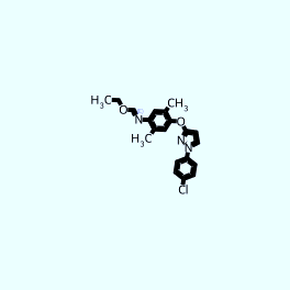 CCO/C=N/c1cc(C)c(Oc2ccn(-c3ccc(Cl)cc3)n2)cc1C